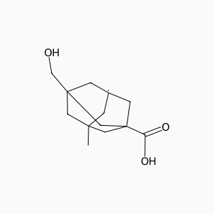 CC12C[C]3CC(CO)(C1)CC(C(=O)O)(C3)C2